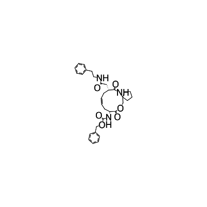 O=C(C[C@H]1C/C=C\C[C@@H](NC(=O)OCc2ccccc2)C(=O)OCC2(CCCC2)NC1=O)NCCc1ccccc1